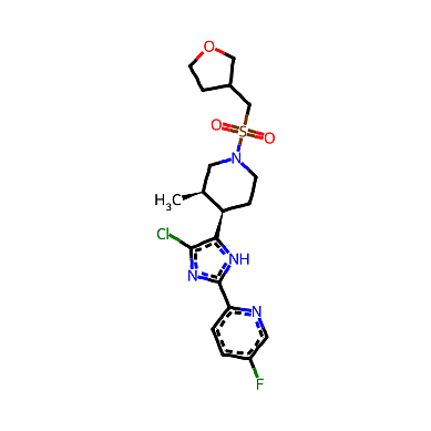 C[C@H]1CN(S(=O)(=O)CC2CCOC2)CC[C@H]1c1[nH]c(-c2ccc(F)cn2)nc1Cl